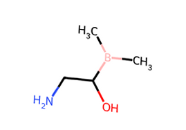 CB(C)C(O)CN